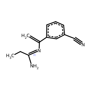 C=C(/N=C(/N)CC)c1cccc(C#N)c1